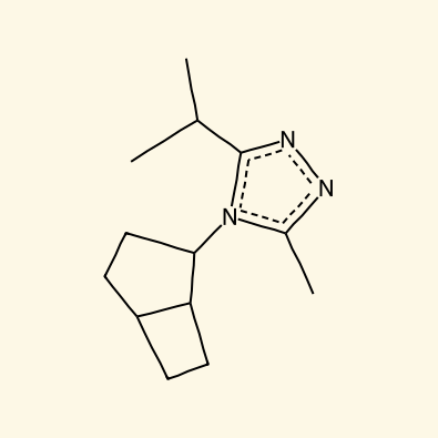 Cc1nnc(C(C)C)n1C1CCC2CCC21